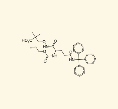 C=CCOC(=O)NC(CCC(=O)NC(c1ccccc1)(c1ccccc1)c1ccccc1)C(=O)NOCC(C)(C)C(=O)O